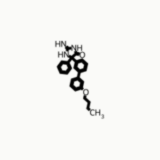 CCCCOc1cccc(-c2cccc(C3(c4ccccc4)NC(=N)NC3=O)c2)c1